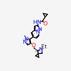 CCN1CC2(CC2)[C@H]1COc1cnn(C)c1-c1ccn2nc(NC(=O)C3CC3)cc2c1